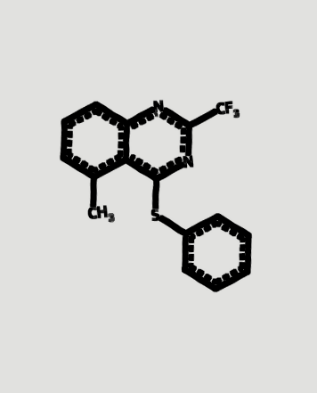 Cc1cccc2nc(C(F)(F)F)nc(Sc3ccccc3)c12